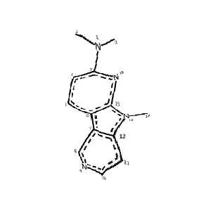 CN(C)c1ccc2c3cnccc3n(C)c2n1